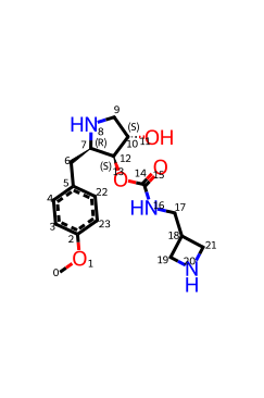 COc1ccc(C[C@H]2NC[C@H](O)[C@H]2OC(=O)NCC2CNC2)cc1